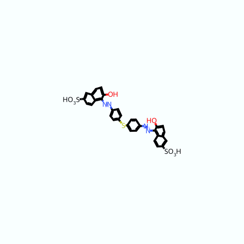 O=S(=O)(O)c1ccc2c(/N=N/c3ccc(Sc4ccc(/N=N/c5c(O)ccc6cc(S(=O)(=O)O)ccc56)cc4)cc3)c(O)ccc2c1